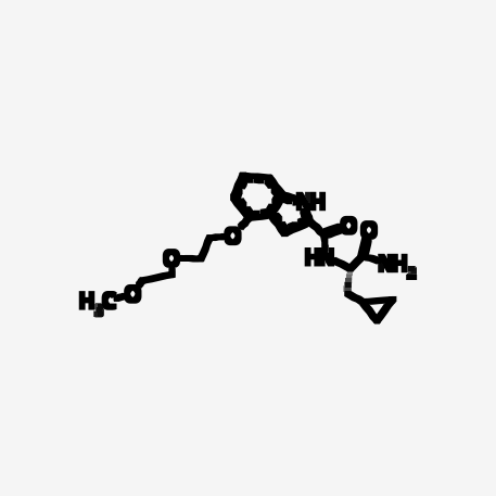 COCCOCCOc1cccc2[nH]c(C(=O)N[C@@H](CC3CC3)C(N)=O)cc12